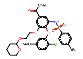 COC(=O)c1cc(NS(=O)(=O)c2ccc(C(C)(C)C)cc2)c(Oc2cc(OC)ccc2Cl)c(OCCOC2CCCCO2)c1